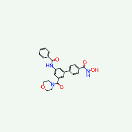 O=C(NO)c1ccc(-c2cc(NC(=O)c3ccccc3)cc(C(=O)N3CCOCC3)c2)cc1